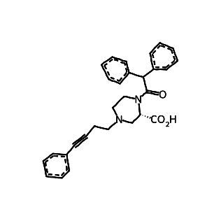 O=C(O)[C@@H]1CN(CCC#Cc2ccccc2)CCN1C(=O)C(c1ccccc1)c1ccccc1